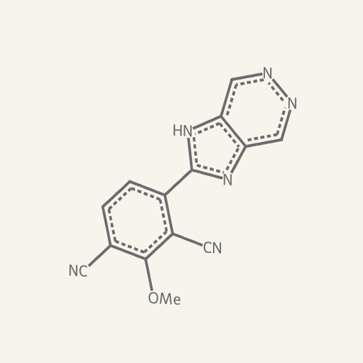 COc1c(C#N)ccc(-c2nc3cnncc3[nH]2)c1C#N